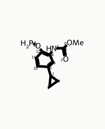 COC(=O)Nc1cc(C2CC2)ccc1OP